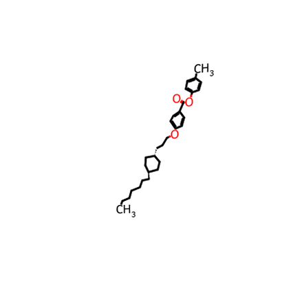 CCCCCCC[C@H]1CC[C@H](CCCOc2ccc(C(=O)Oc3ccc(C)cc3)cc2)CC1